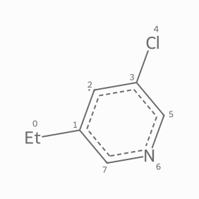 CCc1[c]c(Cl)cnc1